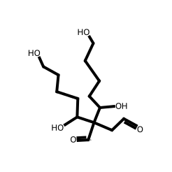 O=[C]C(CC=O)(C(O)CCCCO)C(O)CCCCO